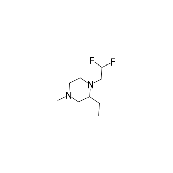 CCC1CN(C)CCN1CC(F)F